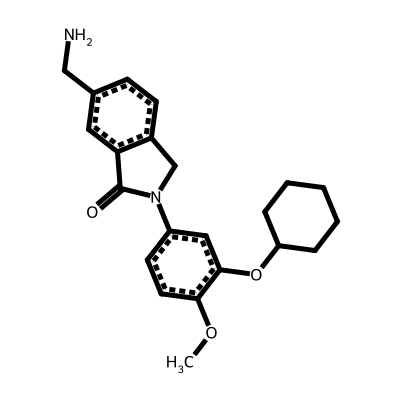 COc1ccc(N2Cc3ccc(CN)cc3C2=O)cc1OC1CCCCC1